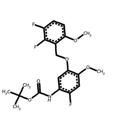 COc1cc(F)c(NC(=O)OC(C)(C)C)cc1OCc1c(OC)ccc(F)c1F